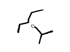 CC(C)Cl.CCCCC